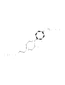 CCCCCCCCOc1ccc(N2CCN(CCC(=O)OCC)CC2)cc1